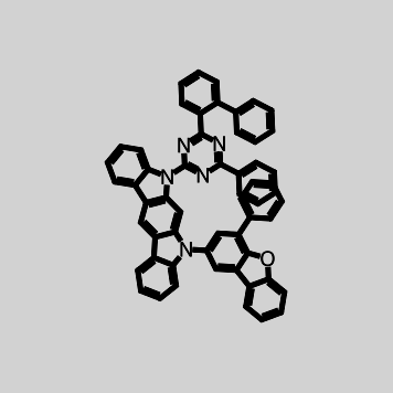 c1ccc(-c2nc(-c3ccccc3-c3ccccc3)nc(-n3c4ccccc4c4cc5c6ccccc6n(-c6cc(-c7ccccc7)c7oc8ccccc8c7c6)c5cc43)n2)cc1